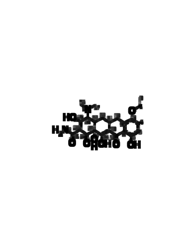 CCOc1ccc(O)c2c1CC1CC3C(N(C)C)C(O)=C(C(N)=O)C(=O)C3(O)C(O)=C1C2=O